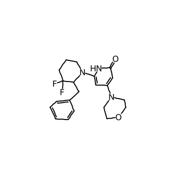 O=c1cc(N2CCOCC2)cc(N2CCCC(F)(F)C2Cc2ccccc2)[nH]1